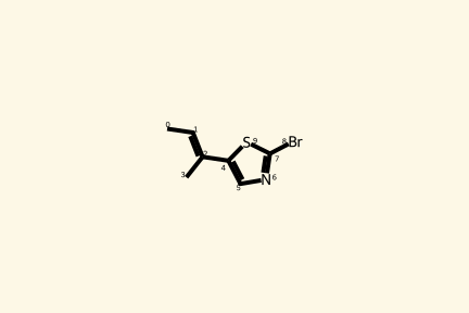 C/C=C(\C)c1cnc(Br)s1